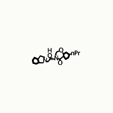 CCCc1ccc2c(c1)OCCN(C[C@H](O)CN1CCc3ccccc3C1)C2=O